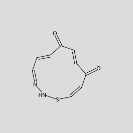 O=C1/C=C\SN/N=C\C=C\C(=O)/C=C/1